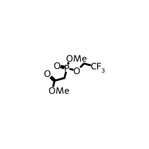 COC(=O)CP(=O)(OC)OCC(F)(F)F